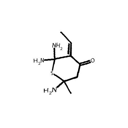 C/C=C1/C(=O)CC(C)(N)SC1(N)N